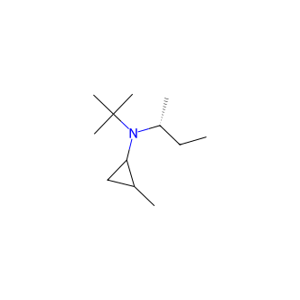 CC[C@@H](C)N(C1CC1C)C(C)(C)C